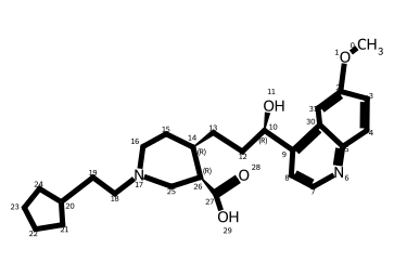 COc1ccc2nccc([C@H](O)CC[C@@H]3CCN(CCC4CCCC4)C[C@@H]3C(=O)O)c2c1